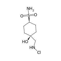 NS(=O)(=O)[C@H]1CC[C@](O)(CNCl)CC1